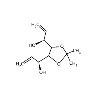 C=C[C@H](O)C1OC(C)(C)O[C@H]1[C@@H](O)C=C